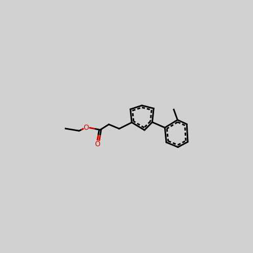 CCOC(=O)CCc1cccc(-c2ccccc2C)c1